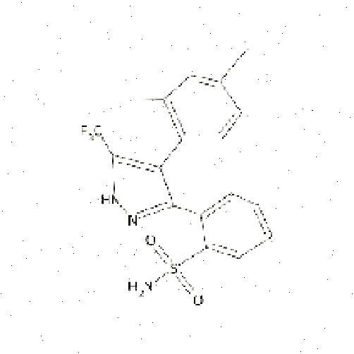 Cc1ccc(-c2c(-c3ccccc3S(N)(=O)=O)n[nH]c2C(F)(F)F)c(C)c1